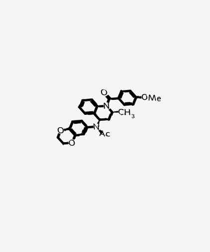 COc1ccc(C(=O)N2c3ccccc3[C@H](N(C(C)=O)c3ccc4c(c3)OCCO4)C[C@@H]2C)cc1